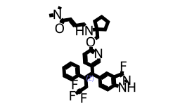 CN(C)C(=O)C=CCNC1(COc2ccc(/C(=C(/CC(F)(F)F)c3ccccc3)c3ccc4[nH]nc(F)c4c3)cn2)CCCC1